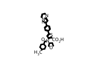 CC1CCC(C(=O)N(c2cc(-c3ccc(-c4cc5ncccn5n4)cc3)sc2C(=O)O)C2CCOC2)CC1